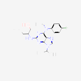 CCC(CO)Nc1nc(N(C)c2ccc(F)cc2)c2ncn(C(C)C)c2n1